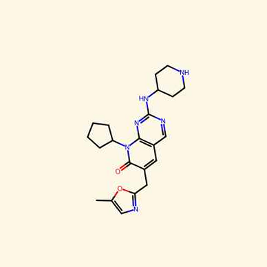 Cc1cnc(Cc2cc3cnc(NC4CCNCC4)nc3n(C3CCCC3)c2=O)o1